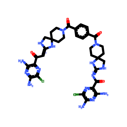 Nc1nc(N)c(C(=O)/C=C2\NCC3(CCN(C(=O)c4ccc(C(=O)N5CCC6(CC5)CN/C(=N\C(=O)c5nc(Cl)c(N)nc5N)N6)cc4)CC3)N2)nc1Cl